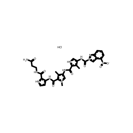 Cc1c(NC(=O)n2cc3c([N+](=O)[O-])cccc3n2)c[nH]c1C(=O)Nc1cn(C)c(C(=O)Nc2cc[nH]c2C(=O)NCCC(N)=O)c1C.Cl